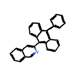 c1ccc(-c2c3ccccc3c(-c3cc4ccccc4cn3)c3ccccc23)cc1